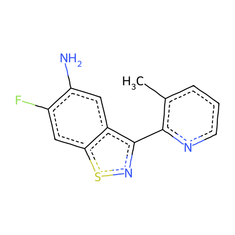 Cc1cccnc1-c1nsc2cc(F)c(N)cc12